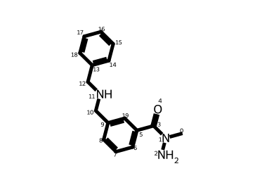 CN(N)C(=O)c1cccc(CNCc2ccccc2)c1